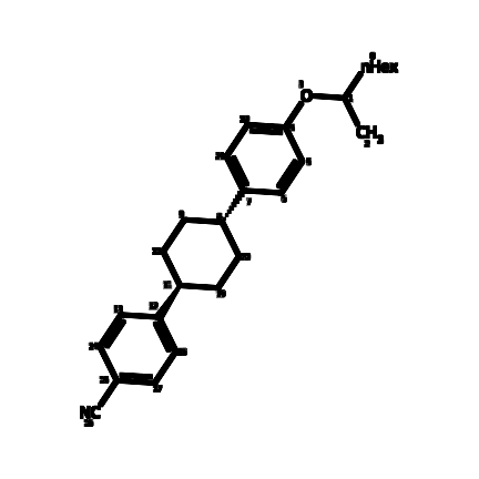 CCCCCCC(C)Oc1ccc([C@H]2CC[C@H](c3ccc(C#N)cc3)CC2)cc1